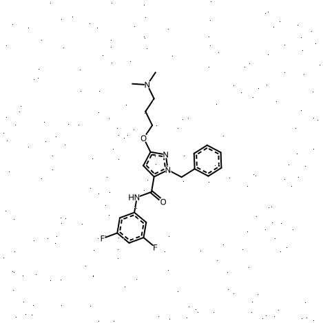 CN(C)CCCOc1cc(C(=O)Nc2cc(F)cc(F)c2)n(Cc2ccccc2)n1